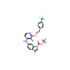 Cc1c(Nc2ccc3c(F)cn(C(=O)OC(C)(C)C)c3c2)ccnc1OCCc1ccc(C(F)(F)F)cc1